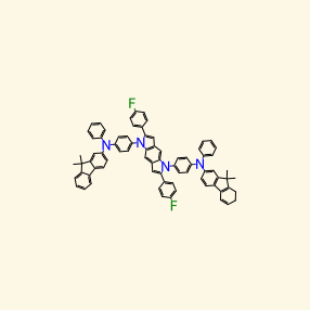 CC1(C)C2=C(C=CCC2)c2ccc(N(c3ccccc3)c3ccc(-n4c(-c5ccc(F)cc5)cc5cc6c(cc(-c7ccc(F)cc7)n6-c6ccc(N(c7ccccc7)c7ccc8c(c7)C(C)(C)c7ccccc7-8)cc6)cc54)cc3)cc21